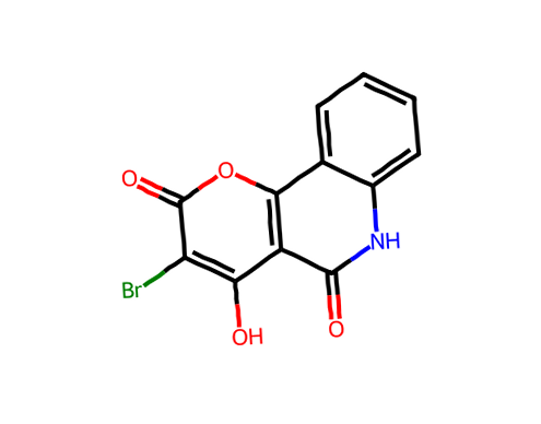 O=c1oc2c(c(O)c1Br)c(=O)[nH]c1ccccc12